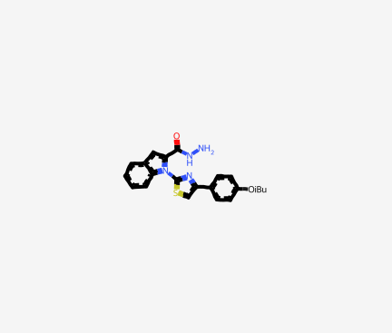 CC(C)COc1ccc(-c2csc(-n3c(C(=O)NN)cc4ccccc43)n2)cc1